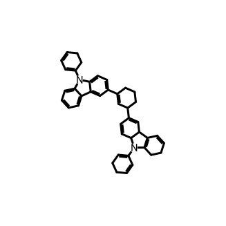 C1=CCCC(n2c3ccccc3c3cc(C4=CC(C5=CC6C7=C(CCC=C7)N(C7=CCCC=C7)C6C=C5)CCC4)ccc32)=C1